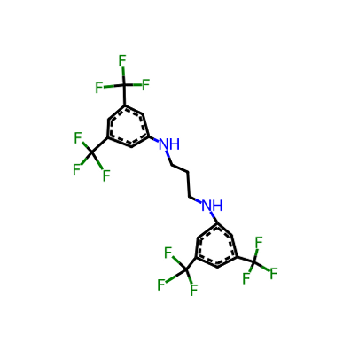 FC(F)(F)c1cc(NCCCNc2cc(C(F)(F)F)cc(C(F)(F)F)c2)cc(C(F)(F)F)c1